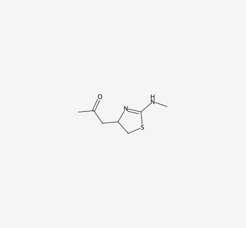 CNC1=NC(CC(C)=O)CS1